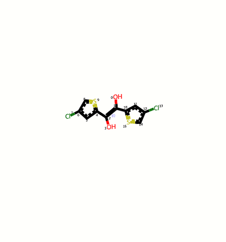 O/C(=C(/O)c1cc(Cl)cs1)c1cc(Cl)cs1